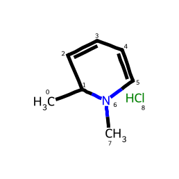 CC1C=CC=CN1C.Cl